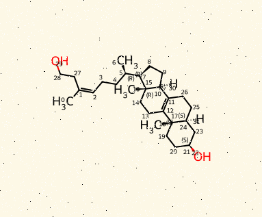 CC(=CCC[C@@H](C)[C@H]1CC[C@H]2C3=C(CC[C@]12C)[C@@]1(C)CC[C@H](O)C[C@@H]1CC3)CCO